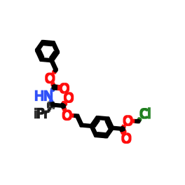 CC(C)[C@H](NC(=O)OCc1ccccc1)C(=O)OCCc1ccc(C(=O)OCCl)cc1